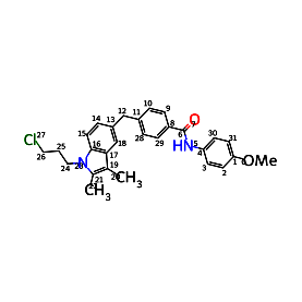 COc1ccc(NC(=O)c2ccc(Cc3ccc4c(c3)c(C)c(C)n4CCCCl)cc2)cc1